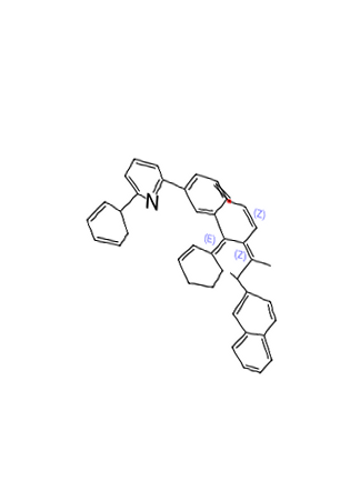 C=C\C=C/C(=C(\C)C(C)c1ccc2ccccc2c1)C(=C1/C=CCCC1)/c1cccc(-c2cccc(C3C=CC=CC3)n2)c1